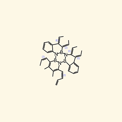 C=C/C=C\C1=C(C)C(C)=C(/C=C\C)B2N1B1c3ccccc3C(=C/C)/C(=C\C)N1B1C(=C/C)/C(=C\C)c3ccccc3N21